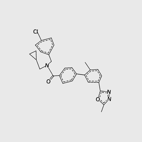 Cc1nnc(-c2ccc(C)c(-c3ccc(C(=O)N(Cc4ccc(Cl)cc4)CC4CC4)cc3)c2)o1